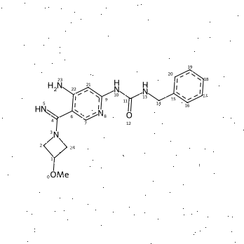 COC1CN(C(=N)c2cnc(NC(=O)NCc3ccccc3)cc2N)C1